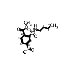 CCCCNS(=O)(=O)c1cc([N+](=O)[O-])ccc1C(=O)OC